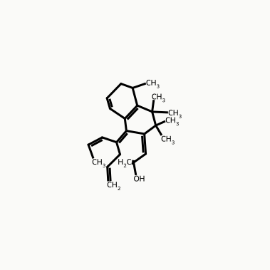 C=CCC(/C=C\C)=C1/C2=C(C(C)CC=C2)C(C)(C)C(C)(C)/C1=C/C(=C)O